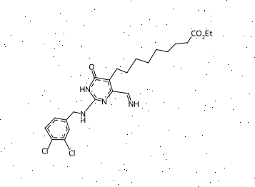 CCOC(=O)CCCCCCCCc1c(C=N)nc(NCc2ccc(Cl)c(Cl)c2)[nH]c1=O